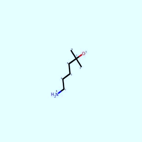 CC(C)([O])CCCCN